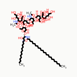 CCCCCCCCCCCCC/C=C/[C@@H](O)[C@H](CO[C@@H]1OC(CO)[C@@H](O[C@@H]2OC(CO)[C@H](O[C@@H]3OC(CO)[C@H](O)[C@H](O[C@@H]4OC(CO)[C@H](O)[C@H](O[C@]5(C(=O)O)CC(O)[C@@H](O)C([C@H](O)[C@H](O)CO)O5)C4O)C3NC(C)=O)[C@H](O[C@]3(C(=O)O)CC(O)[C@@H](NC(C)=O)C([C@H](O)[C@H](O)CO)O3)C2O)[C@H](O)C1O)NC(=O)CCCCCCCCCCCCCCCCCCCCCCCCC